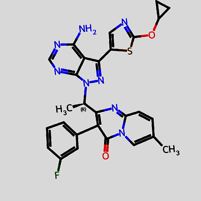 Cc1ccc2nc([C@@H](C)n3nc(-c4cnc(OC5CC5)s4)c4c(N)ncnc43)c(-c3cccc(F)c3)c(=O)n2c1